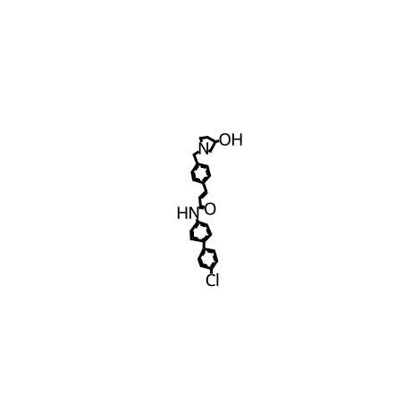 O=C(C=Cc1ccc(CN2CCC(O)C2)cc1)Nc1ccc(-c2ccc(Cl)cc2)cc1